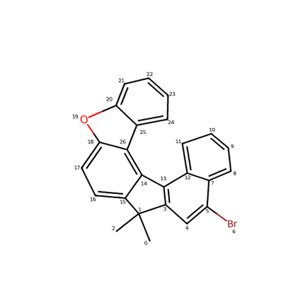 CC1(C)c2cc(Br)c3ccccc3c2-c2c1ccc1oc3ccccc3c21